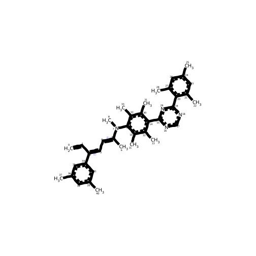 C=C/C(=C\C=C(/C)N(C)c1c(C)c(C)c(-c2ncnc(-c3c(C)cc(C)cc3C)n2)c(C)c1C)c1cc(C)cc(C)c1